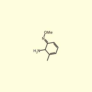 CON=C1C=CC=C(C)C1N